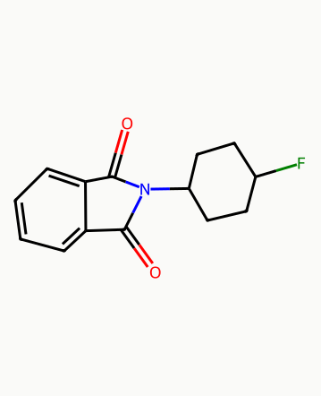 O=C1c2ccccc2C(=O)N1C1CCC(F)CC1